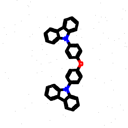 c1ccc2c(c1)c1ccccc1n2-c1ccc(Oc2ccc(-n3c4ccccc4c4ccccc43)cc2)cc1